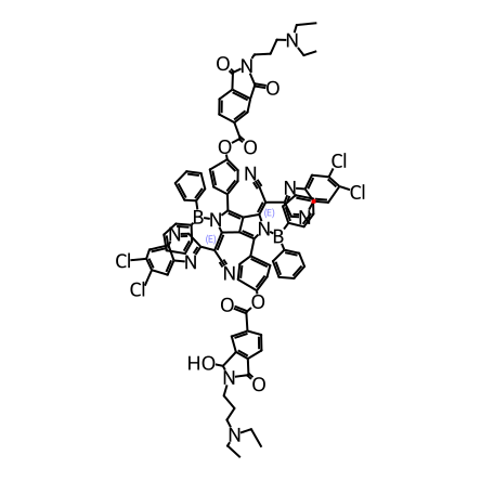 CCN(CC)CCCN1C(=O)c2ccc(C(=O)Oc3ccc(-c4c5/c(=C(\C#N)c6cnc7cc(Cl)c(Cl)cc7n6)n(B(c6ccccc6)c6ccccc6)c(-c6ccc(OC(=O)c7ccc8c(c7)C(O)N(CCCN(CC)CC)C8=O)cc6)c5/c(=C(\C#N)c5cnc6cc(Cl)c(Cl)cc6n5)n4B(c4ccccc4)c4ccccc4)cc3)cc2C1=O